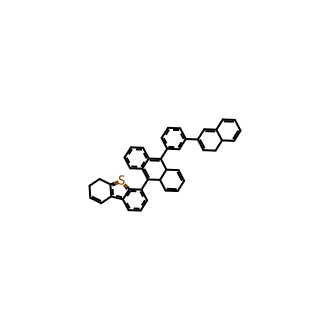 C1=CC2=CC(c3cccc(C4=c5ccccc5=C(c5cccc6c7c(sc56)CCC=C7)C5C=CC=CC45)c3)=CCC2C=C1